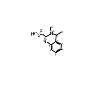 CC(c1ccccc1F)N(C)CC(=O)O